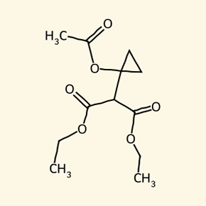 CCOC(=O)C(C(=O)OCC)C1(OC(C)=O)CC1